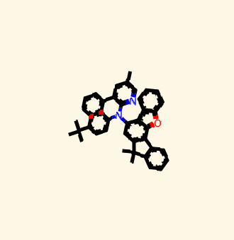 Cc1cnc(N(c2ccc(C(C)(C)C)cc2)c2cc3c(c4oc5ccccc5c24)-c2ccccc2C3(C)C)c(-c2ccccc2)c1